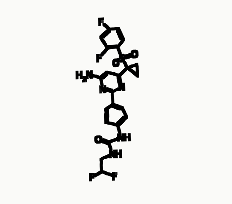 Nc1cc(C2(S(=O)(=O)c3ccc(F)cc3F)CC2)nc(-c2ccc(NC(=O)NCC(F)F)cc2)n1